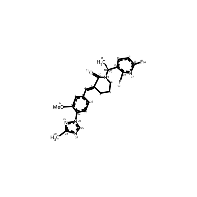 COc1cc(C=C2CCCN([C@@H](C)c3ccc(F)nc3F)C2=O)ccc1-n1cnc(C)n1